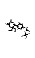 CCC1(CC)CC(=O)NN=C1c1ccc(NC(=O)OC(F)(F)F)cc1